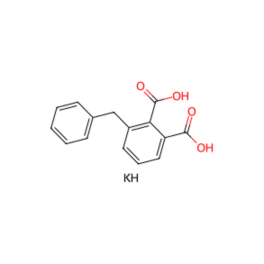 O=C(O)c1cccc(Cc2ccccc2)c1C(=O)O.[KH]